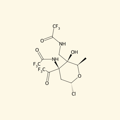 C[C@H]1O[C@H](Cl)C[C@](NC(=O)C(F)(F)F)(C(=O)C(F)(F)F)[C@]1(O)CNC(=O)C(F)(F)F